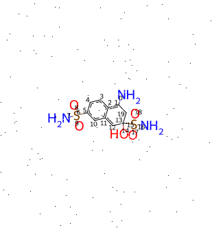 NC1=c2ccc(S(N)(=O)=O)cc2=CC(O)(S(N)(=O)=O)C1